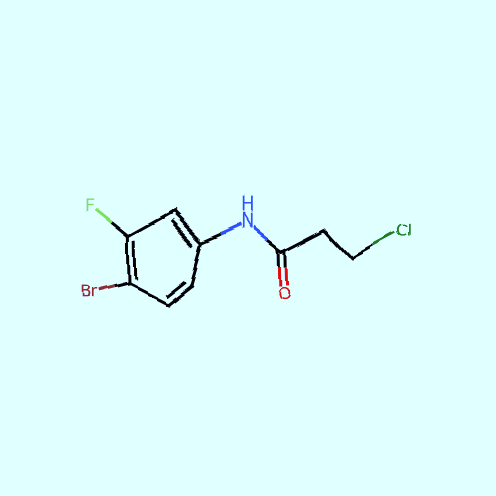 O=C(CCCl)Nc1ccc(Br)c(F)c1